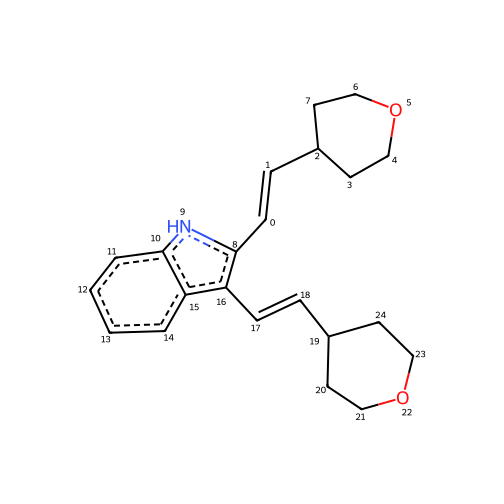 C(=C\C1CCOCC1)/c1[nH]c2ccccc2c1/C=C/C1CCOCC1